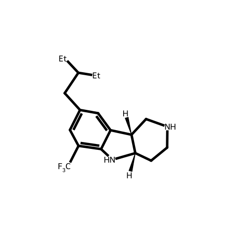 CCC(CC)Cc1cc2c(c(C(F)(F)F)c1)N[C@H]1CCNC[C@@H]21